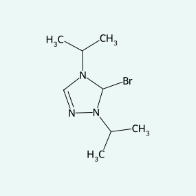 CC(C)N1C=NN(C(C)C)C1Br